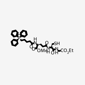 CCOC(=O)CNC(=O)[C@H](CS)NC(=O)CC[C@H](NC(=O)CCCC[PH](c1ccccc1)(c1ccccc1)c1ccccc1)C(=O)OC